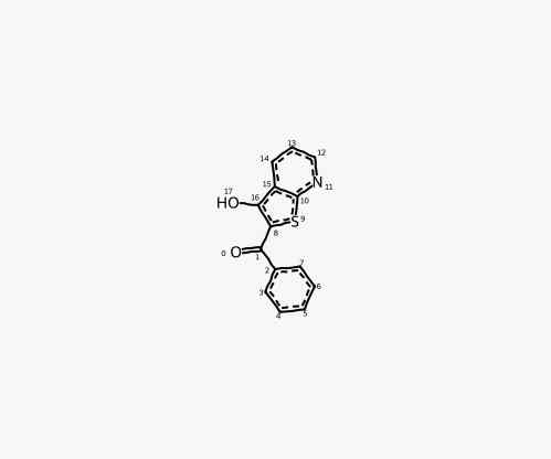 O=C(c1ccccc1)c1sc2ncccc2c1O